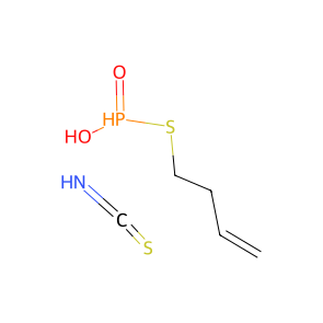 C=CCCS[PH](=O)O.N=C=S